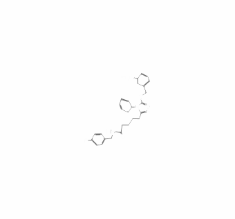 CC1C=CC=C(CSc2nnc(CCCCC(=O)NCc3ccc(F)cc3)n2C2C=CC=CC2)C1